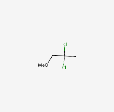 COCC(C)(Cl)Cl